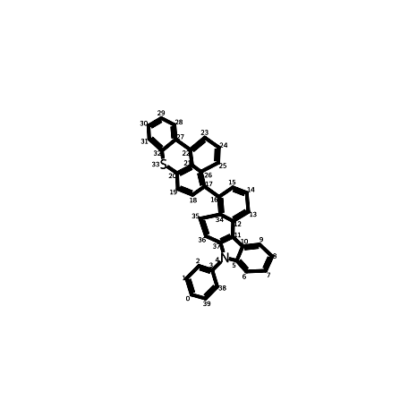 c1ccc(-n2c3ccccc3c3c4cccc(-c5ccc6c7c(cccc57)-c5ccccc5S6)c4ccc32)cc1